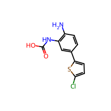 Nc1ccc(-c2ccc(Cl)s2)cc1NC(=O)O